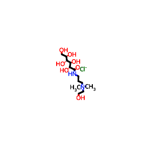 C[N+](C)(CCO)CCCNC(=O)[C@H](O)[C@@H](O)[C@H](O)[C@H](O)CO.[Cl-]